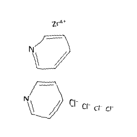 [Cl-].[Cl-].[Cl-].[Cl-].[Zr+4].c1ccncc1.c1ccncc1